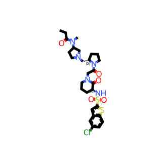 CCC(=O)N(C)C1CCN(C[C@@H]2CCCN2C(=O)CN2CCC[C@H](NS(=O)(=O)c3cc4cc(Cl)ccc4s3)C2=O)C1